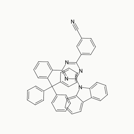 N#Cc1cccc(-c2nc(-c3ccccc3C(c3ccccc3)(c3ccccc3)c3ccccc3)nc(-n3c4ccccc4c4ccccc43)n2)c1